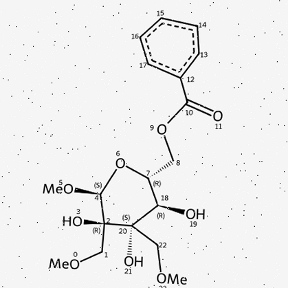 COC[C@]1(O)[C@@H](OC)O[C@H](COC(=O)c2ccccc2)[C@@H](O)[C@@]1(O)COC